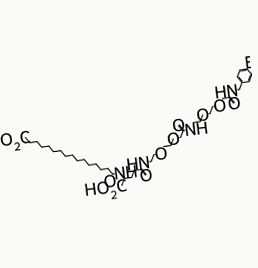 CCc1ccc(CNC(=O)COCCOCCNC(=O)COCCOCCNC(=O)CC[C@H](NC(=O)CCCCCCCCCCCCCCC(=O)O)C(=O)O)cc1